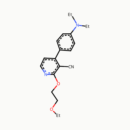 CCOCCOc1nccc(-c2ccc(N(CC)CC)cc2)c1C#N